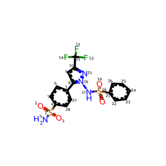 NS(=O)(=O)c1ccc(-c2cc(C(F)(F)F)nn2NS(=O)(=O)c2ccccc2)cc1